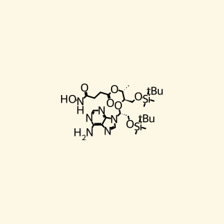 C[C@@H](OC(=O)CCC(=O)NO)[C@@H](CO[Si](C)(C)C(C)(C)C)O[C@H](CO[Si](C)(C)C(C)(C)C)n1cnc2c(N)ncnc21